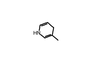 CC1=CNC=CC1